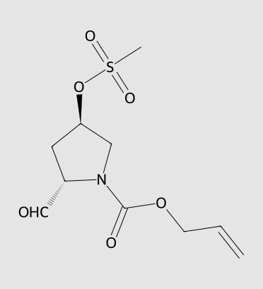 C=CCOC(=O)N1C[C@H](OS(C)(=O)=O)C[C@H]1C=O